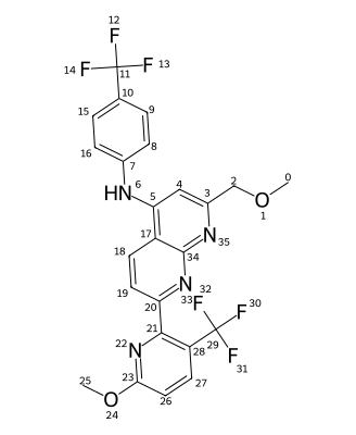 COCc1cc(Nc2ccc(C(F)(F)F)cc2)c2ccc(-c3nc(OC)ccc3C(F)(F)F)nc2n1